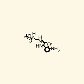 COc1c(N)cccc1C(=N)/C(C)=C\NCCNC(=O)OC(C)(C)C